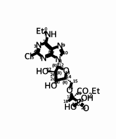 CCNc1nc(Cl)nc2c1ncn2[C@@H]1O[C@H](CO[C@@](C)(C(=O)OCC)P(=O)(O)O)[C@@H](O)[C@H]1O